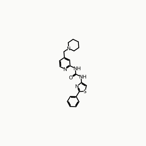 O=C(Nc1cc(CN2CCCCC2)ccn1)Nc1csc(-c2ccccc2)n1